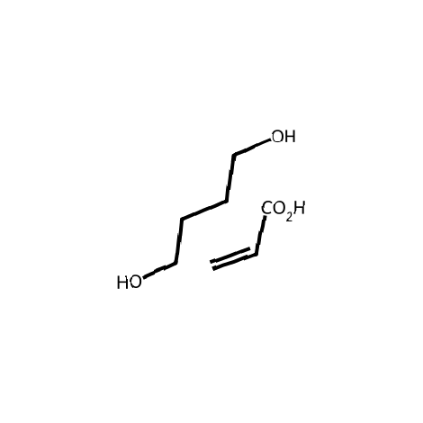 C=CC(=O)O.OCCCCO